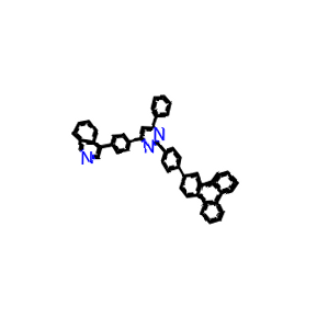 c1ccc(-c2cc(-c3ccc(-c4cncc5ccccc45)cc3)nc(-c3ccc(-c4ccc5c6ccccc6c6ccccc6c5c4)cc3)n2)cc1